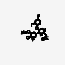 COc1cc(-c2nc(C[S+](C)[O-])ncc2Oc2ccc(F)cc2F)cn(C)c1=O